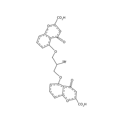 O=C(O)c1cc(=O)c2c(OCC([18F])COc3cccc4oc(C(=O)O)cc(=O)c34)cccc2o1